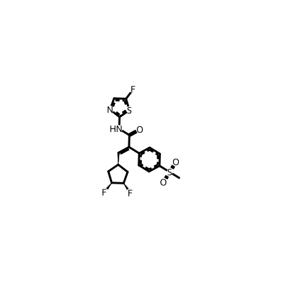 CS(=O)(=O)c1ccc(/C(=C\[C@H]2C[C@@H](F)[C@@H](F)C2)C(=O)Nc2ncc(F)s2)cc1